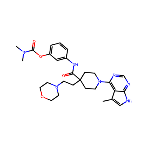 Cc1c[nH]c2ncnc(N3CCC(CCN4CCOCC4)(C(=O)Nc4cccc(OC(=O)N(C)C)c4)CC3)c12